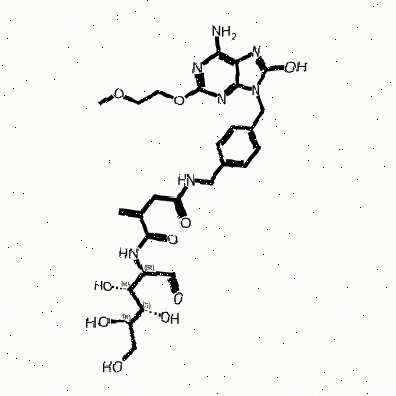 C=C(CC(=O)NCc1ccc(Cn2c(O)nc3c(N)nc(OCCOC)nc32)cc1)C(=O)N[C@@H](C=O)[C@@H](O)[C@H](O)[C@H](O)CO